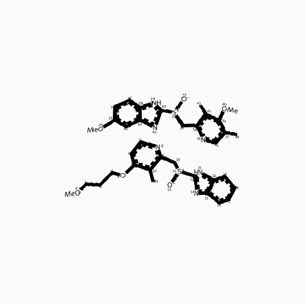 COCCCOc1ccnc(C[S+]([O-])c2nc3ccccc3[nH]2)c1C.COc1ccc2[nH]c([S+]([O-])Cc3ncc(C)c(OC)c3C)nc2c1